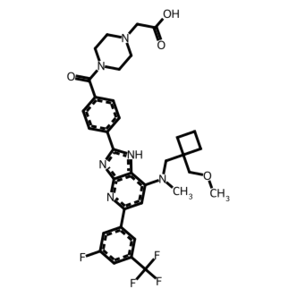 COCC1(CN(C)c2cc(-c3cc(F)cc(C(F)(F)F)c3)nc3nc(-c4ccc(C(=O)N5CCN(CC(=O)O)CC5)cc4)[nH]c23)CCC1